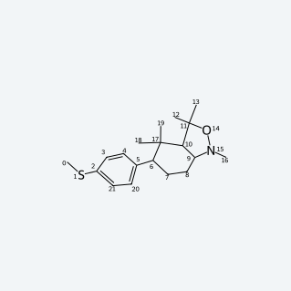 CSc1ccc(C2CCC3C(C(C)(C)ON3C)C2(C)C)cc1